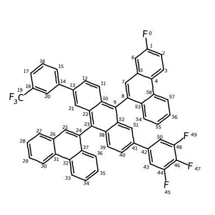 Fc1ccc2c(c1)cc(-c1c3ccc(-c4cccc(C(F)(F)F)c4)cc3c(-c3cc4ccccc4c4ccccc34)c3ccc(-c4cc(F)c(F)c(F)c4)cc13)c1ccccc12